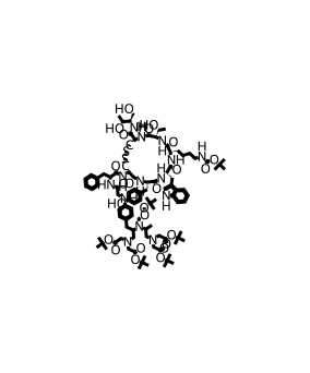 CC(O)[C@@H]1NC(=O)[C@H](CCCCNC(=O)OC(C)(C)C)NC(=O)[C@H](Cc2c[nH]c3ccccc23)NC(=O)[C@H](Cc2ccc(O)cc2)NC(=O)C(NC(=O)C(Cc2ccccc2)NC(=O)CNc2ccc(CC(CN(CC(=O)OC(C)(C)C)CC(=O)OC(C)(C)C)N(COOC(C)(C)C)C(C)CN(CC(=O)OC(C)(C)C)CC(=O)OC(C)(C)C)cc2)CSSCC(C(=O)N[C@H](CO)C(C)O)NC1=O